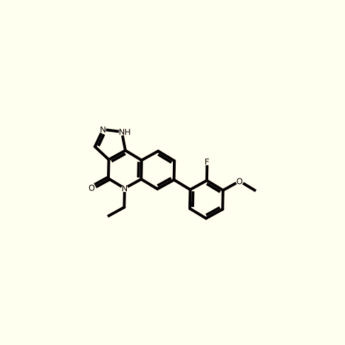 CCn1c(=O)c2cn[nH]c2c2ccc(-c3cccc(OC)c3F)cc21